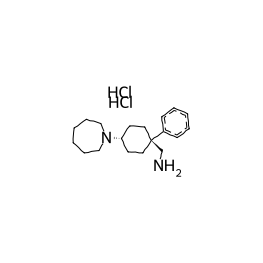 Cl.Cl.NC[C@]1(c2ccccc2)CC[C@@H](N2CCCCCC2)CC1